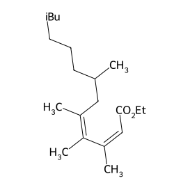 CCOC(=O)C=C(C)C(C)=C(C)CC(C)CCCC(C)CC